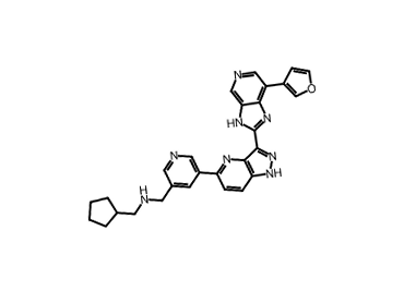 c1cc(-c2cncc3[nH]c(-c4n[nH]c5ccc(-c6cncc(CNCC7CCCC7)c6)nc45)nc23)co1